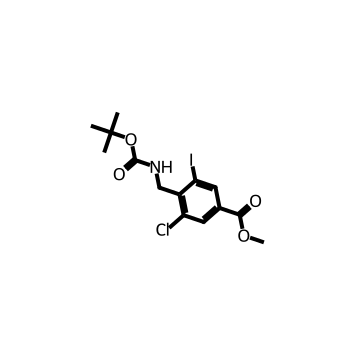 COC(=O)c1cc(Cl)c(CNC(=O)OC(C)(C)C)c(I)c1